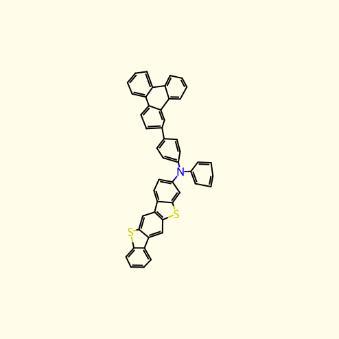 c1ccc(N(c2ccc(-c3ccc4c5ccccc5c5ccccc5c4c3)cc2)c2ccc3c(c2)sc2cc4c(cc23)sc2ccccc24)cc1